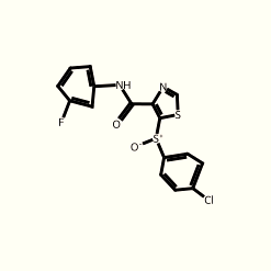 O=C(Nc1cccc(F)c1)c1ncsc1[S+]([O-])c1ccc(Cl)cc1